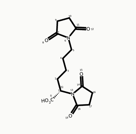 O=C(O)[C@H](CCCCN1C(=O)CCC1=O)N1C(=O)CCC1=O